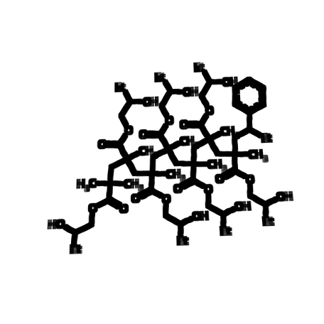 CCC(O)COC(=O)C(C)(C)CC(C)(CC(C)(CC(C)(CC(C)(CC(C)(CC(C)(CC(CC)c1ccccc1)C(=O)OCC(O)CC)C(=O)OCC(O)CC)C(=O)OCC(O)CC)C(=O)OCC(O)CC)C(=O)OCC(O)CC)C(=O)OCC(O)CC